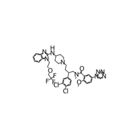 COc1ccc(-n2cnnn2)cc1C(=O)N(C)CC(CCN1CCC(Nc2nc3ccccc3n2CCOCC(F)(F)F)CC1)c1ccc(Cl)c(Cl)c1